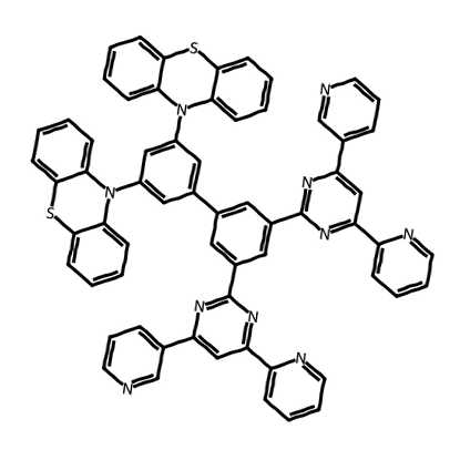 c1ccc(-c2cc(-c3cccnc3)nc(-c3cc(-c4cc(N5c6ccccc6Sc6ccccc65)cc(N5c6ccccc6Sc6ccccc65)c4)cc(-c4nc(-c5cccnc5)cc(-c5ccccn5)n4)c3)n2)nc1